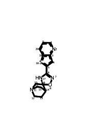 c1cnc2cc(C3=NO[C@]4(CN5CCC4CC5)N3)sc2c1